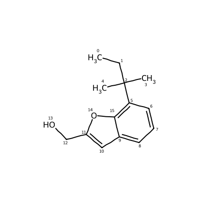 CCC(C)(C)c1cccc2cc(CO)oc12